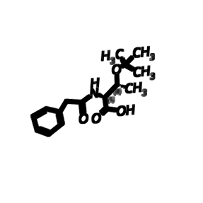 C[C@@H](OC(C)(C)C)[C@H](NC(=O)Cc1ccccc1)C(=O)O